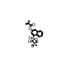 C=C(C)C(=O)Oc1cc(S(=O)(=O)NS(C)(=O)=O)c2ccccc2c1